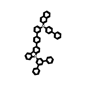 c1ccc(-c2ccc(N(c3cccc(-c4ccc(-c5ccc6c(c5)c5ccccc5n6-c5cc(-c6ccccc6)cc(-c6ccccc6)c5)cc4)c3)c3ccc4ccccc4c3)cc2)cc1